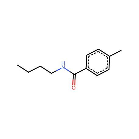 CCCCNC(=O)c1ccc(C)cc1